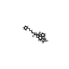 O=C(NC=CCCc1ccccc1)C(Cc1ccc(C(F)(F)P(=O)(O)O)cc1)NS(=O)(=O)c1ccccc1